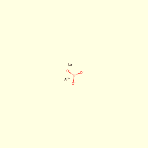 [Al+3].[La].[O-]B([O-])[O-]